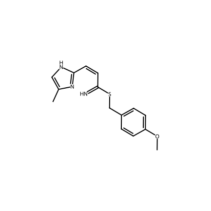 COc1ccc(CSC(=N)/C=C\c2nc(C)c[nH]2)cc1